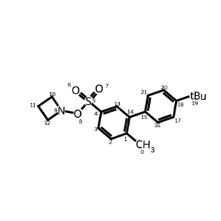 Cc1ccc(S(=O)(=O)ON2CCC2)cc1-c1ccc(C(C)(C)C)cc1